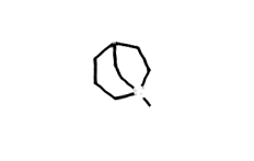 [O-][N+]12CCCC(CC1)CC2